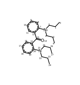 CCCN(CCC)c1ccccc1C(=O)c1ccccc1N(CCC)CCC